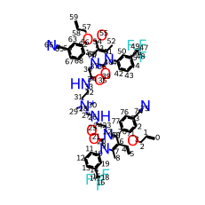 C=CCOC(=C)C1=C(C)N(c2cccc(C(F)(F)F)c2)C(=O)N(CC(=O)NC[N+](C)(C)CCNC(=O)CN2C(=O)N(c3cccc(C(F)(F)F)c3)C(C)=C(C(=O)OCC=C)[C@H]2c2ccc(C#N)cc2)[C@@H]1c1ccc(C#N)cc1